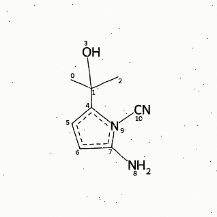 CC(C)(O)c1ccc(N)n1C#N